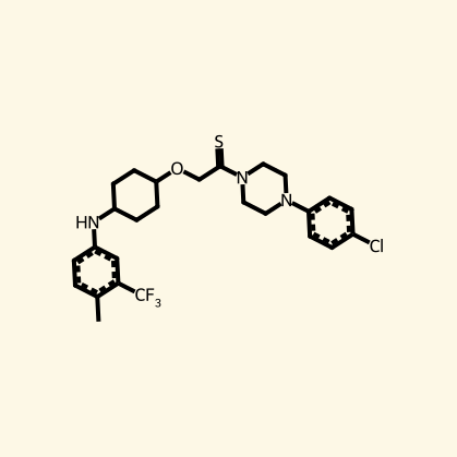 Cc1ccc(NC2CCC(OCC(=S)N3CCN(c4ccc(Cl)cc4)CC3)CC2)cc1C(F)(F)F